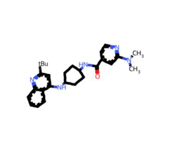 CN(C)c1cc(C(=O)NC2CCC(Nc3cc(C(C)(C)C)nc4ccccc34)CC2)ccn1